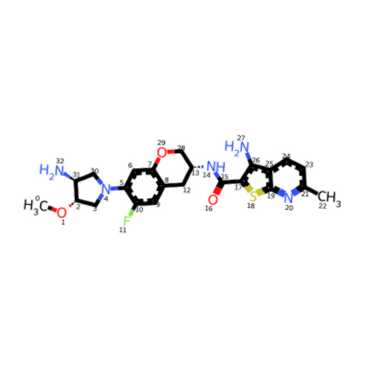 CO[C@H]1CN(c2cc3c(cc2F)C[C@@H](NC(=O)c2sc4nc(C)ccc4c2N)CO3)C[C@@H]1N